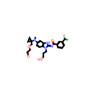 CN(c1ccc2c(c1)[nH]/c(=N\C(=O)c1cccc(C(F)F)c1)n2CCCO)C1(COCC=O)CC1